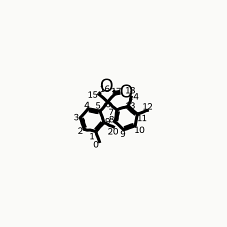 Cc1cccc(C2(c3cccc(C)c3C)COC2=O)c1C